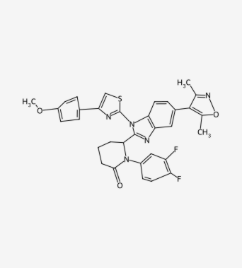 COc1ccc(-c2csc(-n3c(C4CCCC(=O)N4c4ccc(F)c(F)c4)nc4cc(-c5c(C)noc5C)ccc43)n2)cc1